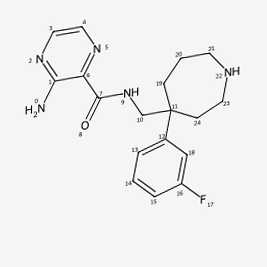 Nc1nccnc1C(=O)NCC1(c2cccc(F)c2)CCCNCC1